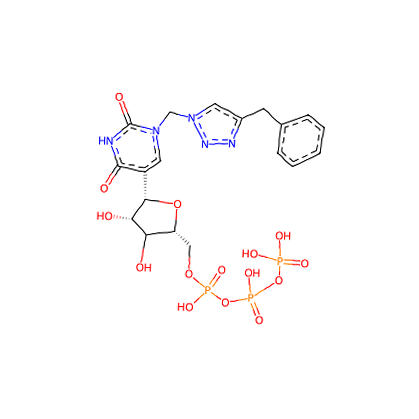 O=c1[nH]c(=O)n(Cn2cc(Cc3ccccc3)nn2)cc1[C@@H]1O[C@H](COP(=O)(O)OP(=O)(O)OP(=O)(O)O)C(O)[C@@H]1O